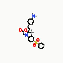 CN(C)c1ccc(/C=C/C23OC(=O)CN2c2ccc(S(=O)(=O)c4ccccc4)cc2C3(C)C)cc1